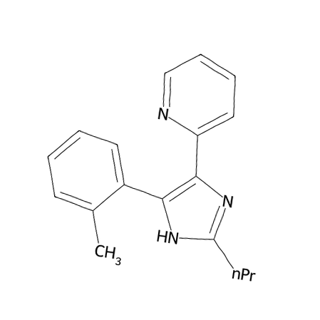 CCCc1nc(-c2ccccn2)c(-c2ccccc2C)[nH]1